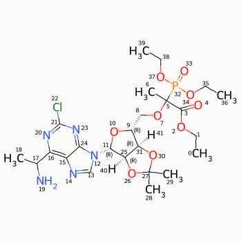 CCOC(=O)C(C)(OC[C@H]1O[C@@H](n2cnc3c(C(C)N)nc(Cl)nc32)[C@@H]2OC(C)(C)O[C@@H]21)P(=O)(OCC)OCC